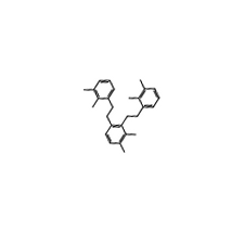 Cc1cccc(CCc2ccc(C)c(C)c2CCc2cccc(C)c2C)c1C